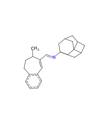 CC1CCc2ccccc2C=C1/C=N/C12CC3CC4CC(C1)C4(C3)C2